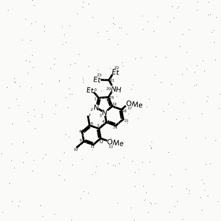 CCc1nn2c(-c3c(C)cc(C)cc3OC)ccc(OC)c2c1NC(CC)CC